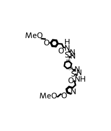 COCCOc1ccc(CC(=O)Nc2nnc([C@H]3CCC[C@H](c4nnc(NC(=O)Cc5ccc(OCCOC)cn5)s4)C3)s2)cc1